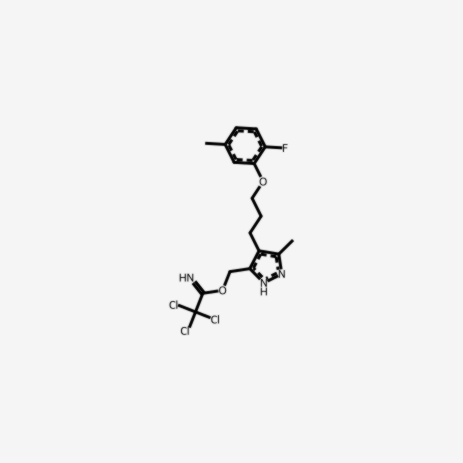 Cc1ccc(F)c(OCCCc2c(C)n[nH]c2COC(=N)C(Cl)(Cl)Cl)c1